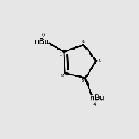 CCCCC1=CC(CCCC)CC1